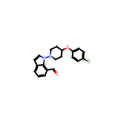 O=Cc1cccc2ccn(N3CCC(Oc4ccc(Cl)cc4)CC3)c12